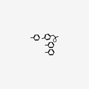 CC(=O)Cc1ccc(C)cc1.Cc1ccccc1.Cc1ccccc1.Cc1ccccc1